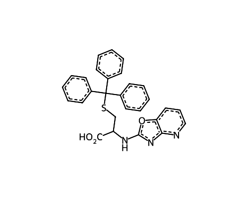 O=C(O)C(CSC(c1ccccc1)(c1ccccc1)c1ccccc1)Nc1nc2ncccc2o1